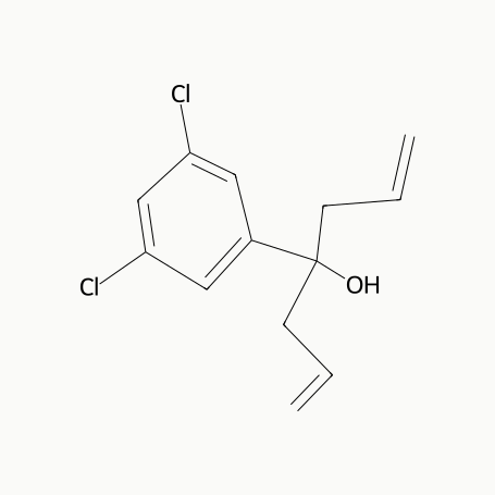 C=CCC(O)(CC=C)c1cc(Cl)cc(Cl)c1